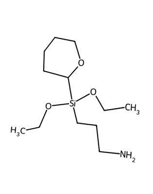 CCO[Si](CCCN)(OCC)C1CCCCO1